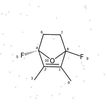 CC1=C(C)[C@@]2(F)CCC1(F)O2